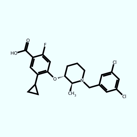 C[C@H]1[C@H](Oc2cc(F)c(C(=O)O)cc2C2CC2)CCCN1Cc1cc(Cl)cc(Cl)c1